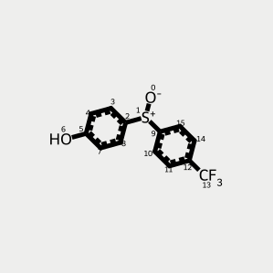 [O-][S+](c1ccc(O)cc1)c1ccc(C(F)(F)F)cc1